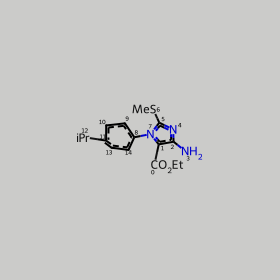 CCOC(=O)c1c(N)nc(SC)n1-c1ccc(C(C)C)cc1